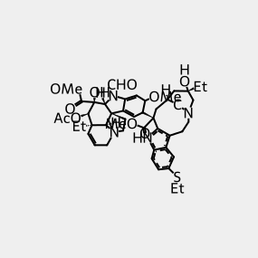 CCSc1ccc2[nH]c3c(c2c1)CCN1C[C@H](C[C@@](O)(CC)C1)C[C@]3(C(=O)OC)C1C=C2C(=CC1OC)N(C=O)[C@H]1[C@@](O)(C(=O)OC)[C@H](OC(C)=O)[C@]3(CC)C=CCN4CC[C@]21[C@@H]43